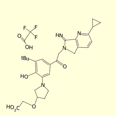 CC(C)(C)c1cc(C(=O)CN2Cc3ccc(C4CC4)nc3C2=N)cc(N2CCC(OCC(=O)O)C2)c1O.O=C(O)C(F)(F)F